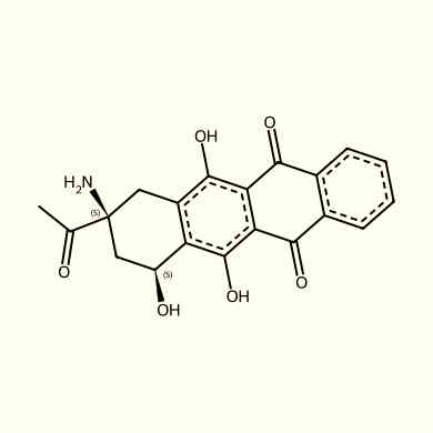 CC(=O)[C@]1(N)Cc2c(O)c3c(c(O)c2[C@@H](O)C1)C(=O)c1ccccc1C3=O